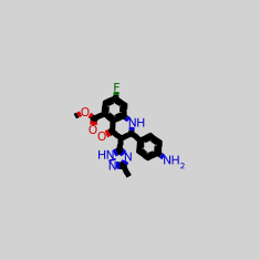 COC(=O)c1cc(F)cc2c1C(=O)C(c1nc(C)n[nH]1)C(c1ccc(N)cc1)N2